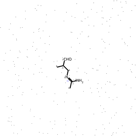 C/C(N)=N/CC(C)C=O